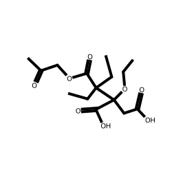 CCOC(CC(=O)O)(C(=O)O)C(CC)(CC)C(=O)OCC(C)=O